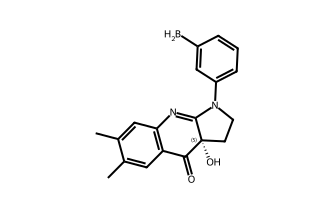 Bc1cccc(N2CC[C@@]3(O)C(=O)c4cc(C)c(C)cc4N=C23)c1